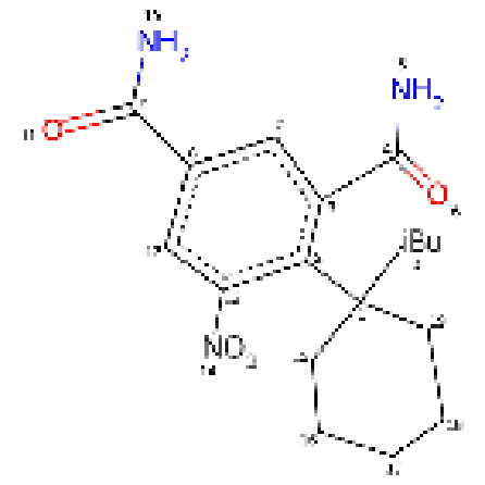 CCC(C)C1(c2c(C(N)=O)cc(C(N)=O)cc2[N+](=O)[O-])CCCCC1